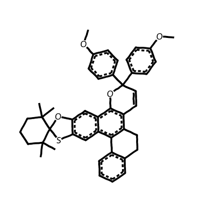 COc1ccc(C2(c3ccc(OC)cc3)C=Cc3c4c(c5cc6c(cc5c3O2)OC2(S6)C(C)(C)CCCC2(C)C)-c2ccccc2CC4)cc1